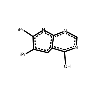 CC(C)c1cc2c(O)ncnc2nc1C(C)C